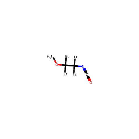 CCC(CC)(N=C=O)C(CC)(CC)O[SiH3]